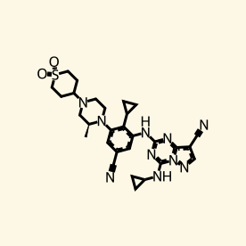 C[C@H]1CN(C2CCS(=O)(=O)CC2)CCN1c1cc(C#N)cc(Nc2nc(NC3CC3)n3ncc(C#N)c3n2)c1C1CC1